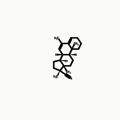 CC1=C[C@@H]2[C@H](CC[C@@]3(C)[C@H]2CC[C@]3(C)C#N)[C@@]2(C)CCCC=C12